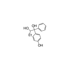 CCC(O)C(O)(c1ccccc1)c1ccc(O)cc1